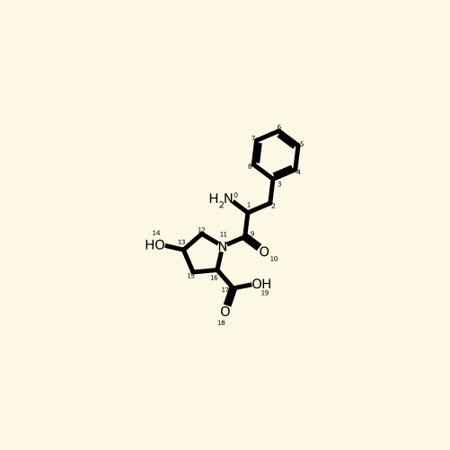 NC(Cc1ccccc1)C(=O)N1CC(O)CC1C(=O)O